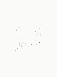 c1ccc(-c2ccc(-c3nc(-c4ccccc4)nc(-c4ccc5sc6ccc(-c7ccc(-c8ccccn8)nc7)cc6c5c4)n3)cc2)cc1